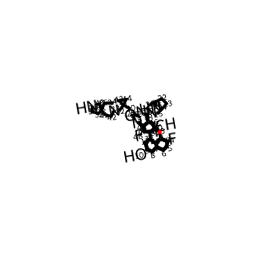 C#Cc1c(F)ccc2cc(O)cc(-c3c(F)cc4c(N5CC6CCC(C5)N6)nc(OCC5(CN6CCC7(CCNC7)CC6)CC5)nc4c3F)c12